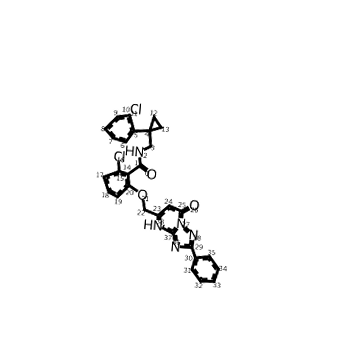 O=C(NCC1(c2ccccc2Cl)CC1)c1c(Cl)cccc1OCc1cc(=O)n2nc(-c3ccccc3)nc2[nH]1